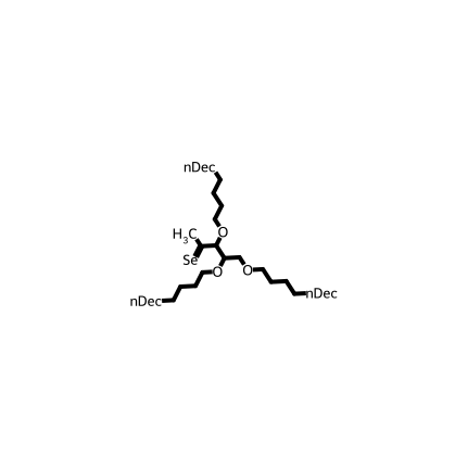 CCCCCCCCCCCCCCOCC(OCCCCCCCCCCCCCC)C(OCCCCCCCCCCCCCC)C(C)=[Se]